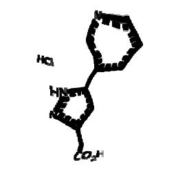 Cl.O=C(O)c1cc(-c2cccnc2)[nH]n1